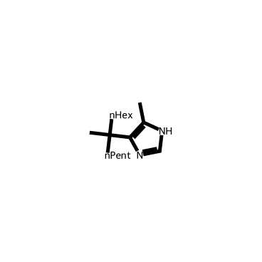 CCCCCCC(C)(CCCCC)c1nc[nH]c1C